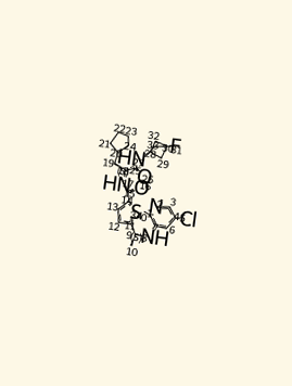 Cc1ncc(Cl)cc1N[C@@H](C)c1ccc(C(=O)N[C@@H](CC2CCCC2)C(=O)NC23CC(F)(C2)C3)s1